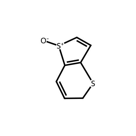 [O-][s+]1ccc2c1C=CCS2